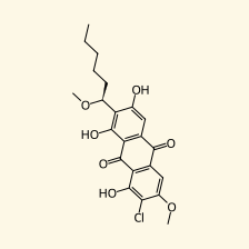 CCCCC[C@H](OC)c1c(O)cc2c(c1O)C(=O)c1c(cc(OC)c(Cl)c1O)C2=O